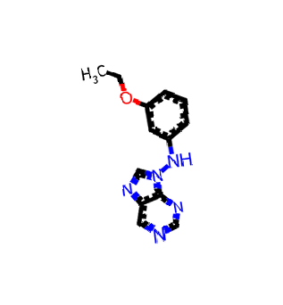 CCOc1cccc(Nn2cnc3cncnc32)c1